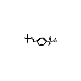 CNS(=O)(=O)c1ccc(/C=N/C(C)(C)C)cc1